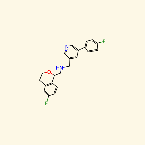 Fc1ccc(-c2cncc(CNCC3OCCc4cc(F)ccc43)c2)cc1